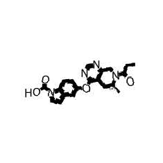 CCC(=O)N1Cc2ncnc(Oc3ccc4c(ccn4C(=O)O)c3)c2C[C@@H]1C